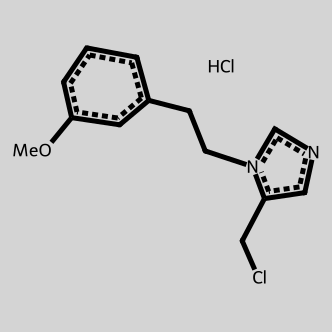 COc1cccc(CCn2cncc2CCl)c1.Cl